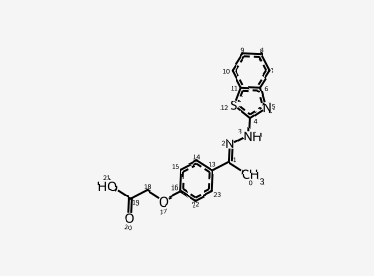 C/C(=N\Nc1nc2ccccc2s1)c1ccc(OCC(=O)O)cc1